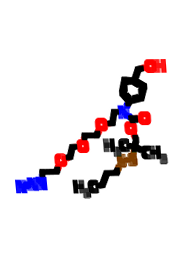 CCCCSSC(C)(C)COC(=O)N(CCOCCOCCOCCN=[N+]=[N-])c1ccc(CO)cc1